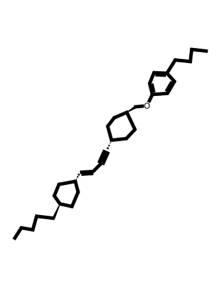 CCCCC[C@H]1CC[C@H](C=CC#C[C@H]2CC[C@H](COc3ccc(CCCC)cc3)CC2)CC1